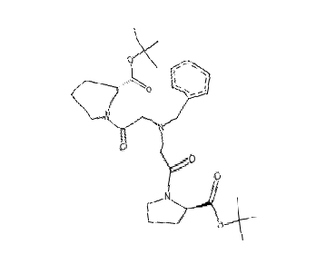 CC(C)(C)OC(=O)[C@H]1CCCN1C(=O)CN(CC(=O)N1CCC[C@@H]1C(=O)OC(C)(C)C)Cc1ccccc1